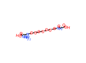 N/C(=C\NCCOCCOCCOCCOCCOCCOCCOCCNC(=O)CCCC(=O)O)C[C@H](N)C(=O)O